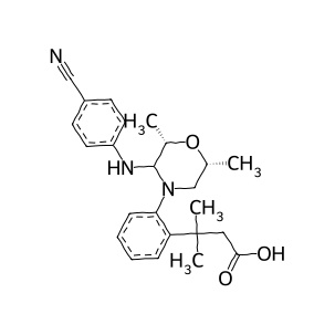 C[C@@H]1CN(c2ccccc2C(C)(C)CC(=O)O)C(Nc2ccc(C#N)cc2)[C@H](C)O1